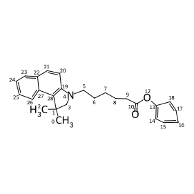 CC1(C)CN(CCCCCC(=O)Oc2ccccc2)c2ccc3ccccc3c21